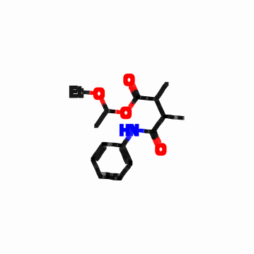 CCOC(C)OC(=O)C(C)C(C)C(=O)Nc1ccccc1